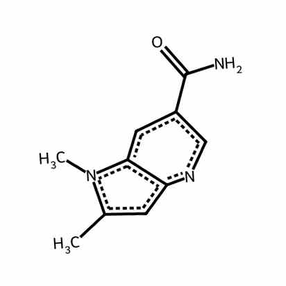 Cc1cc2ncc(C(N)=O)cc2n1C